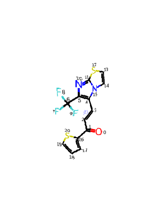 O=C(/C=C/c1c(C(F)(F)F)nc2sccn12)c1cccs1